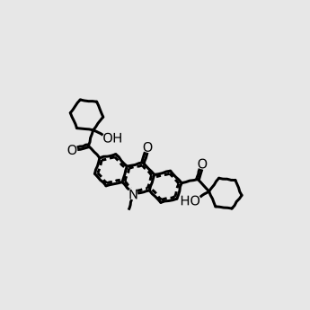 Cn1c2ccc(C(=O)C3(O)CCCCC3)cc2c(=O)c2cc(C(=O)C3(O)CCCCC3)ccc21